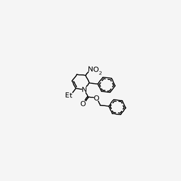 CCC1=CCC([N+](=O)[O-])C(c2ccccc2)N1C(=O)OCc1ccccc1